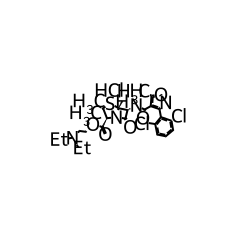 CCN(CC)CCOC(=O)[C@@H]1N2C(=O)[C@@H](NC(=O)c3c(-c4c(Cl)cccc4Cl)noc3C)[C@H]2SC1(C)C.Cl